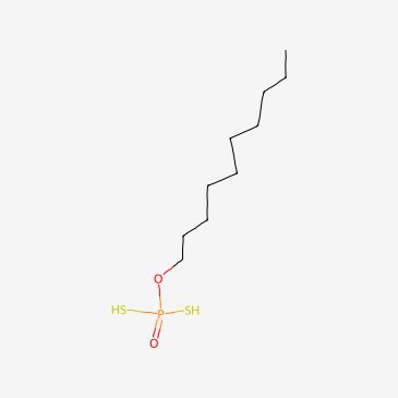 CCCCCCCCCCOP(=O)(S)S